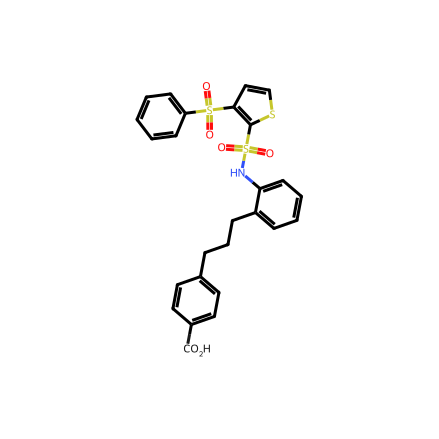 O=C(O)c1ccc(CCCc2ccccc2NS(=O)(=O)c2sccc2S(=O)(=O)c2ccccc2)cc1